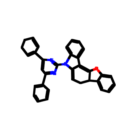 C1=CC(c2cc(-c3ccccc3)nc(-n3c4c(c5ccccc53)=C3Oc5ccccc5C3CC=4)n2)=CCC1